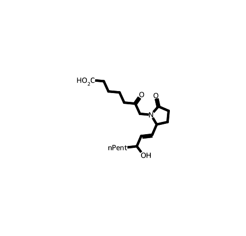 CCCCCC(O)/C=C/C1CCC(=O)N1CC(=O)CCCCC(=O)O